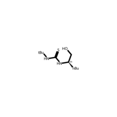 CCCC[C@H](CO)NC(=S)NC(C)(C)C